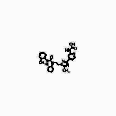 Cc1ccccc1NC(=O)N(CCn1nc(-c2ccnc(NC(=O)O)c2)nc1C)C1CCCC1